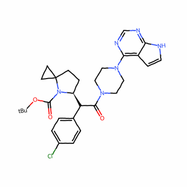 CC(C)(C)OC(=O)N1[C@H](C(C(=O)N2CCN(c3ncnc4[nH]ccc34)CC2)c2ccc(Cl)cc2)CCC12CC2